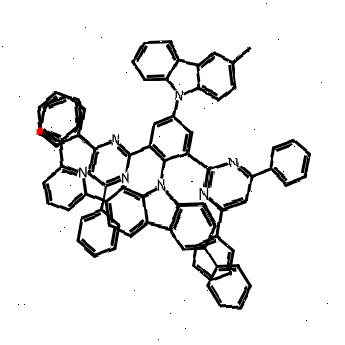 Cc1ccc2c(c1)c1ccccc1n2-c1cc(-c2nc(-c3ccccc3)cc(-c3ccccc3)n2)c(-n2c3ccc(-c4ccccc4)cc3c3ccc(-c4cccc(-c5ccccc5)n4)cc32)c(-c2nc(-c3ccccc3)cc(-c3ccccc3)n2)c1